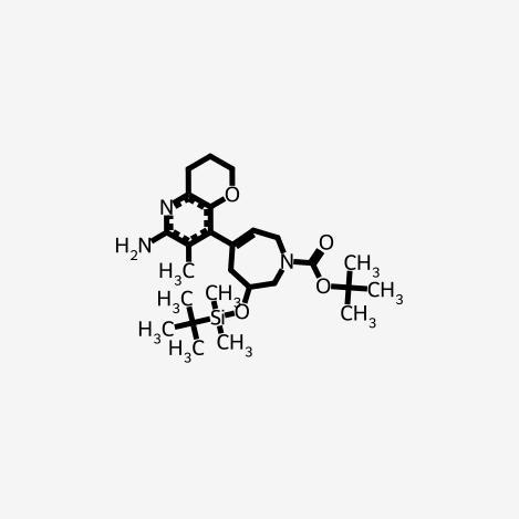 Cc1c(N)nc2c(c1C1=CCN(C(=O)OC(C)(C)C)CC(O[Si](C)(C)C(C)(C)C)C1)OCCC2